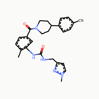 Cc1ccc(C(=O)N2CCC(c3ccc(C#N)cc3)CC2)cc1NC(=O)NCc1ccn(C)n1